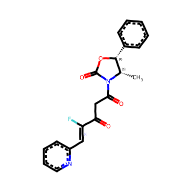 C[C@H]1[C@@H](c2ccccc2)OC(=O)N1C(=O)CC(=O)/C(F)=C/c1ccccn1